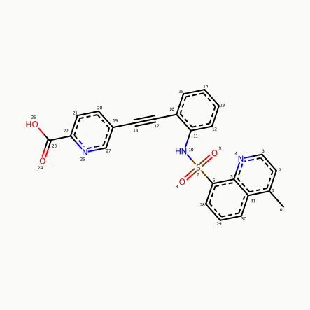 Cc1ccnc2c(S(=O)(=O)Nc3ccccc3C#Cc3ccc(C(=O)O)nc3)cccc12